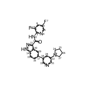 O=C(Nc1ncc(F)cc1F)c1n[nH]c2ccc(-c3cncc(N4CCCC4)c3)cc12